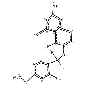 CCCc1cc2ccc(OC(F)(F)c3ccc(COC)cc3F)c(F)c2c(=O)o1